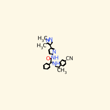 Cc1c(-c2ccc(NC(=O)[C@@H](NC[C@@H](C)c3ccc(C#N)cc3)c3ccccc3)nc2)cnn1C